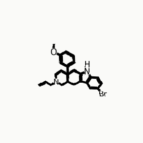 C=CCN1CCC2(c3cccc(OC)c3)Cc3[nH]c4ccc(Br)cc4c3CC2C1